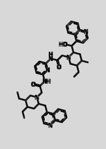 CCC1CN(CC(=O)Nc2cccc(NC(=O)CN3CC(CC)C(CC)CC3Cc3ccnc4ccccc34)n2)C(C(O)c2ccnc3ccccc23)CC1C